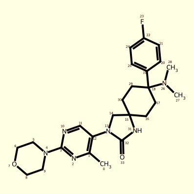 Cc1nc(N2CCOCC2)ncc1N1CC2(CCC(c3ccc(F)cc3)(N(C)C)CC2)NC1=O